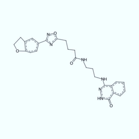 O=C(CCCc1nc(-c2ccc3c(c2)CCO3)no1)NCCCNc1n[nH]c(=O)c2ccccc12